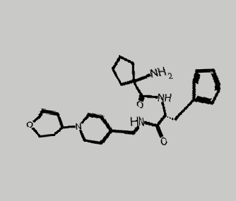 NC1(C(=O)N[C@H](Cc2ccccc2)C(=O)NCC2CCN(C3CCOCC3)CC2)CCCC1